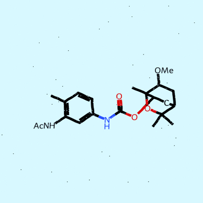 COC1CC2CC(OC(=O)Nc3ccc(C)c(NC(C)=O)c3)C1(C)OC2(C)C